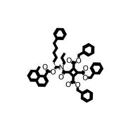 CCCN(C(=O)C1C(C(=O)OCc2ccccc2)C(C(=O)OCc2ccccc2)C1C(=O)OCc1ccccc1)[C@@H](CCCCCc1ccccc1)OC(=O)c1cccc2cccc(C)c12